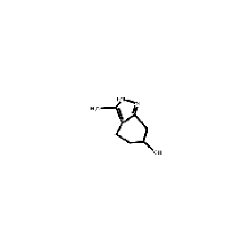 Nc1[nH]nc2c1CCC(O)C2